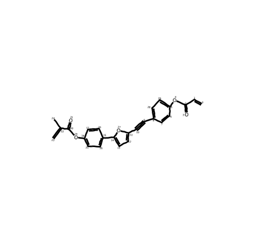 C=CC(=O)Oc1ccc(C#Cc2ccc(-c3ccc(OC(=O)C(=C)C)cc3)o2)cc1